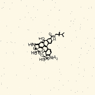 CC(C)C(C)(C)CNC(=O)c1ccc(-c2c3ccc(=N)c(S(=O)(=O)O)c-3oc3c(S(=O)(=O)O)c(N)ccc23)c(C(=O)O)c1